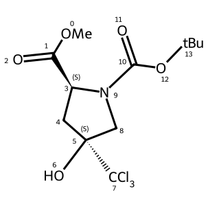 COC(=O)[C@@H]1C[C@@](O)(C(Cl)(Cl)Cl)CN1C(=O)OC(C)(C)C